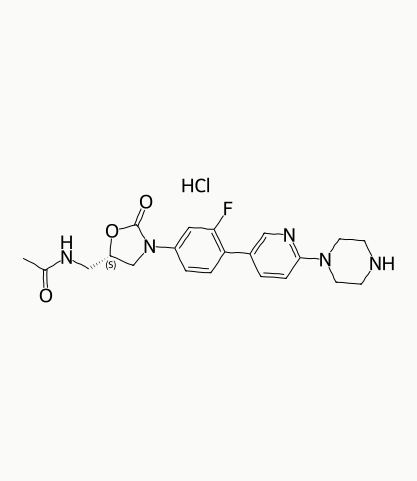 CC(=O)NC[C@H]1CN(c2ccc(-c3ccc(N4CCNCC4)nc3)c(F)c2)C(=O)O1.Cl